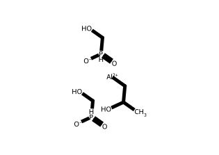 CC(O)[CH2][Al+2].O=[PH]([O-])CO.O=[PH]([O-])CO